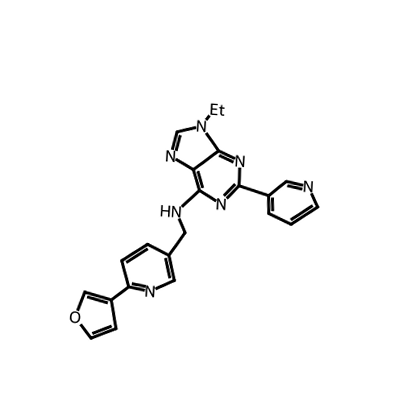 CCn1cnc2c(NCc3ccc(-c4ccoc4)nc3)nc(-c3cccnc3)nc21